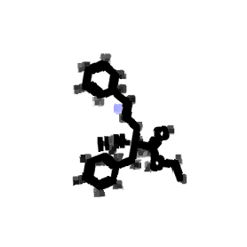 CCOC(=O)[C@](N)(C/C=C/c1ccccc1)Cc1ccccc1